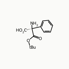 CC(C)(C)OC(=O)[C@](N)(C(=O)O)c1ccccc1